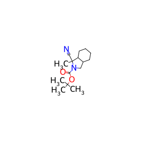 CC(C)(C)OC(=O)N1CC2CCCCC2C1(C)C#N